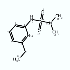 CCc1[c]ccc(NS(=O)(=O)N(C)C)n1